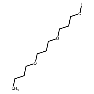 CCCCOCCCOCCCOI